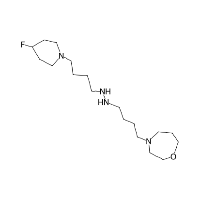 FC1CCN(CCCCNNCCCCN2CCCOCC2)CC1